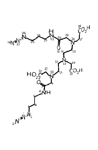 [N-]=[N+]=NCCCNC(=O)CN(CCN(CCN(CC(=O)O)CC(=O)NCCCN=[N+]=[N-])CC(=O)O)CC(=O)O